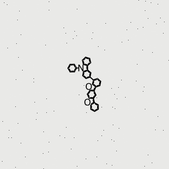 c1ccc(-n2c3ccccc3c3cc(-c4cccc5c4oc4cc6oc7ccccc7c6cc45)ccc32)cc1